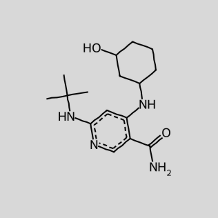 CC(C)(C)Nc1cc(NC2CCCC(O)C2)c(C(N)=O)cn1